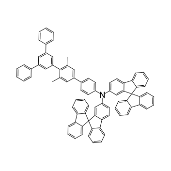 Cc1cc(-c2ccc(N(c3ccc4c(c3)C3(c5ccccc5-c5ccccc53)c3ccccc3-4)c3ccc4c(c3)C3(c5ccccc5-c5ccccc53)c3ccccc3-4)cc2)cc(C)c1-c1cc(-c2ccccc2)cc(-c2ccccc2)c1